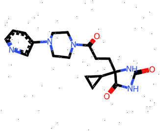 O=C1NC(=O)C(CCC(=O)N2CCN(c3cccnc3)CC2)(C2CC2)N1